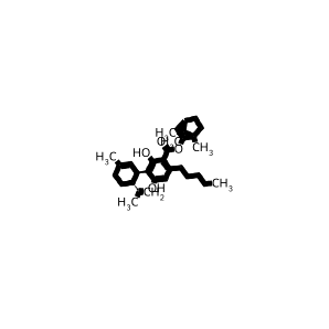 C=C(C)[C@@H]1CCC(C)=C[C@H]1c1c(O)cc(CCCCC)c(C(=O)OC2CC3CCC2(C)C3(C)C)c1O